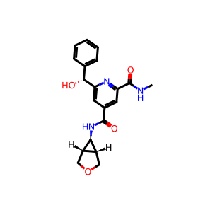 CNC(=O)c1cc(C(=O)N[C@H]2[C@@H]3COC[C@@H]32)cc([C@H](O)c2ccccc2)n1